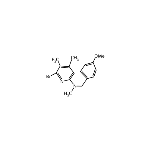 COc1ccc(CN(C)c2cc(C)c(C(F)(F)F)c(Br)n2)cc1